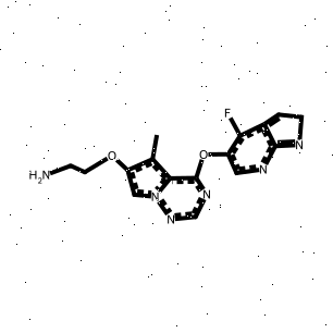 Cc1c(OCCN)cn2ncnc(Oc3cnc4c(c3F)=CCN=4)c12